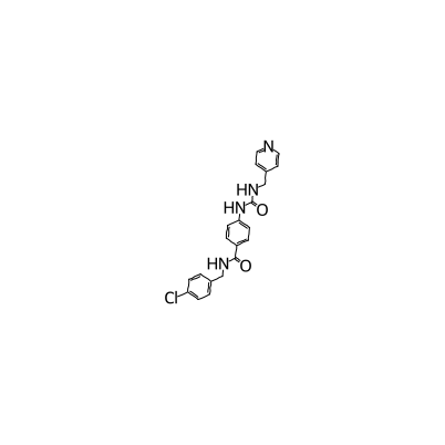 O=C(NCc1ccncc1)Nc1ccc(C(=O)NCc2ccc(Cl)cc2)cc1